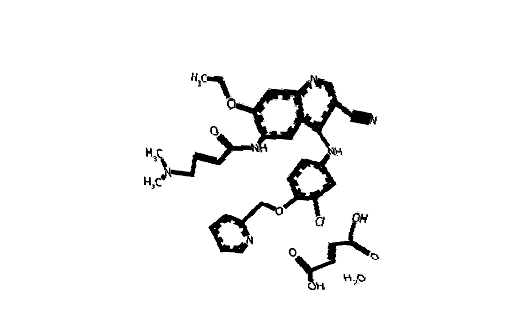 CCOc1cc2ncc(C#N)c(Nc3ccc(OCc4ccccn4)c(Cl)c3)c2cc1NC(=O)C=CCN(C)C.O.O=C(O)C=CC(=O)O